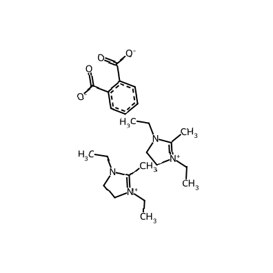 CCN1CC[N+](CC)=C1C.CCN1CC[N+](CC)=C1C.O=C([O-])c1ccccc1C(=O)[O-]